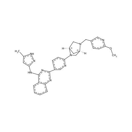 COc1ccc(CN2C[C@H]3C[C@@H]2CN3c2ccc(-c3nc(Nc4cc(C)[nH]n4)c4ccccc4n3)cn2)cn1